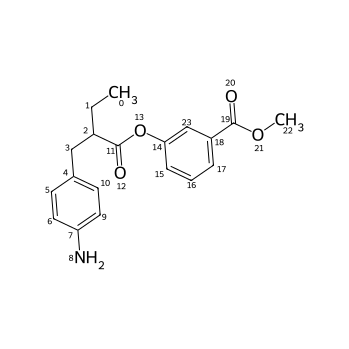 CCC(Cc1ccc(N)cc1)C(=O)Oc1cccc(C(=O)OC)c1